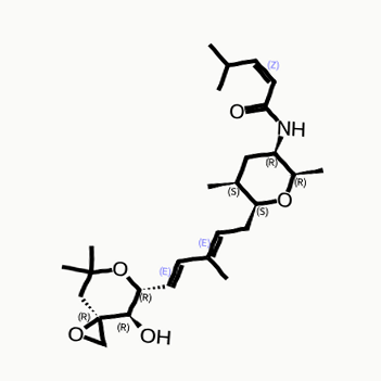 CC(/C=C/[C@H]1OC(C)(C)C[C@@]2(CO2)[C@@H]1O)=C\C[C@@H]1O[C@H](C)[C@H](NC(=O)/C=C\C(C)C)C[C@@H]1C